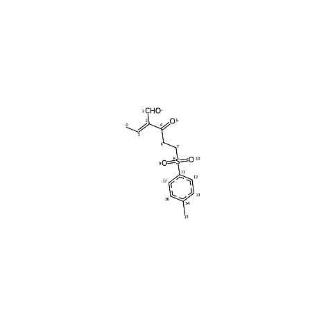 CC=C([C]=O)C(=O)CCS(=O)(=O)c1ccc(C)cc1